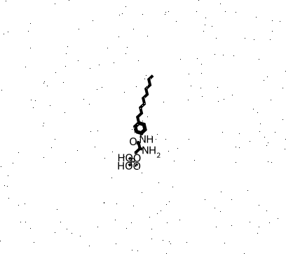 CCCCCCCCCCc1ccc(NC(=O)C(N)COP(=O)(O)O)cc1